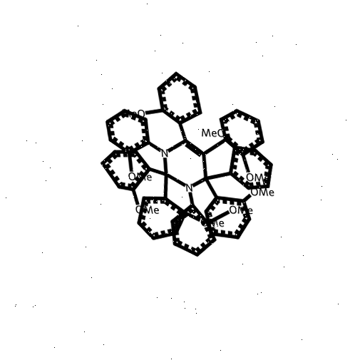 COc1ccccc1C1=C(c2ccccc2OC)C(c2ccccc2OC)(c2ccccc2OC)N(c2ccccc2OC)C(c2ccccc2OC)(c2ccccc2OC)N1c1ccccc1OC